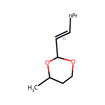 CCC/C=C/C1OCCC(C)O1